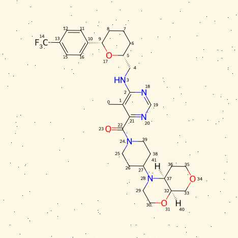 Cc1c(NC[C@H]2CCC[C@@H](c3ccc(C(F)(F)F)cc3)O2)ncnc1C(=O)N1CCC(N2CCO[C@@H]3COCC[C@@H]32)CC1